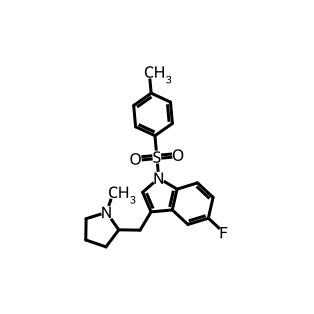 Cc1ccc(S(=O)(=O)n2cc(CC3CCCN3C)c3cc(F)ccc32)cc1